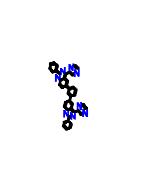 c1ccc(-c2nc(-c3cnccn3)c3cc(-c4cccc(-c5ccc6nc(-c7ccccc7)nc(-c7cnccn7)c6c5)c4)ccc3n2)cc1